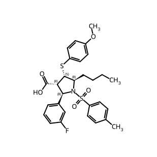 CCCC[C@@H]1[C@@H](Sc2ccc(OC)cc2)[C@@H](C(=O)O)[C@H](c2cccc(F)c2)N1S(=O)(=O)c1ccc(C)cc1